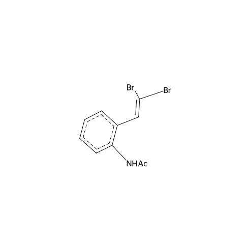 CC(=O)Nc1ccccc1C=C(Br)Br